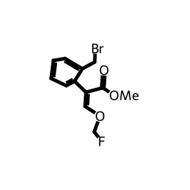 COC(=O)C(=COCF)c1ccccc1CBr